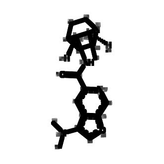 C[C@H]1[C@H](NC(=O)c2cc3c(N(C)C)coc3cn2)C2CCN1CC2